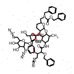 CC1CC(NC(=O)C(OCc2ccccc2)C(F)CN=[N+]=[N-])C(O)C(OC2OC(CO)C(OC3OC(CN=[N+]=[N-])C(O)C(O)C3N=[N+]=[N-])C2O)C1OC1OC(CN(Cc2ccccc2)C(=O)OCc2ccccc2)CCC1NC(=O)OCc1ccccc1